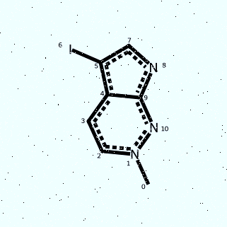 Cn1ccc2c(I)cnc-2n1